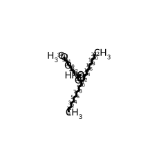 CCCCCCCCCCCC(CCCCCCCCCCC)OC(=O)NCCCOCCOC